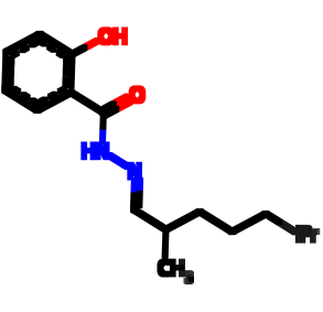 CC(C)CCCC(C)C=NNC(=O)c1ccccc1O